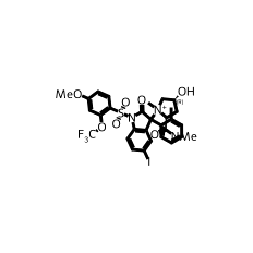 CNC(=O)[C@@H]1C[C@@H](O)C[N+]1(C)C1(c2ccccc2C)C(=O)N(S(=O)(=O)c2ccc(OC)cc2OC(F)(F)F)c2ccc(I)cc21